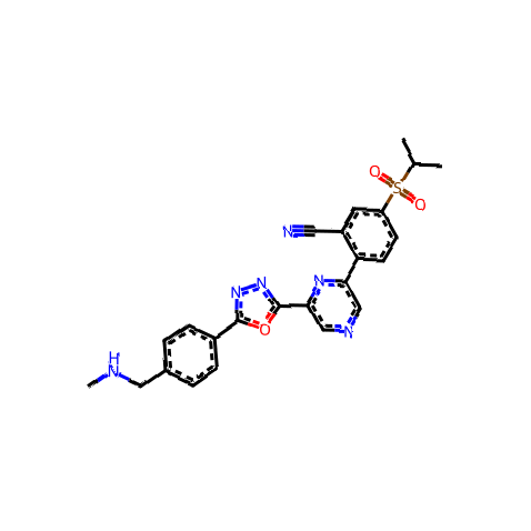 CNCc1ccc(-c2nnc(-c3cncc(-c4ccc(S(=O)(=O)C(C)C)cc4C#N)n3)o2)cc1